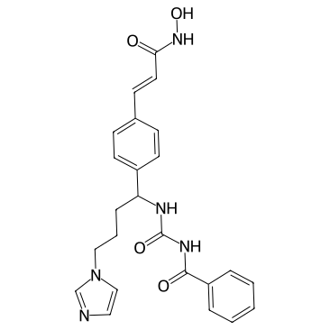 O=C(C=Cc1ccc(C(CCCn2ccnc2)NC(=O)NC(=O)c2ccccc2)cc1)NO